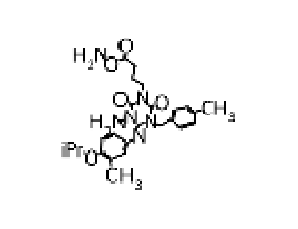 Cc1ccc(Cn2c(=O)n(CCCC(=O)ON)c(=O)n(N)/c2=N\c2ccc(OC(C)C)c(C)c2)cc1